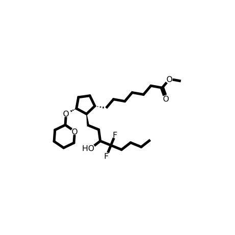 CCCCC(F)(F)C(O)CC[C@@H]1[C@@H](CCCCCCC(=O)OC)CC[C@H]1OC1CCCCO1